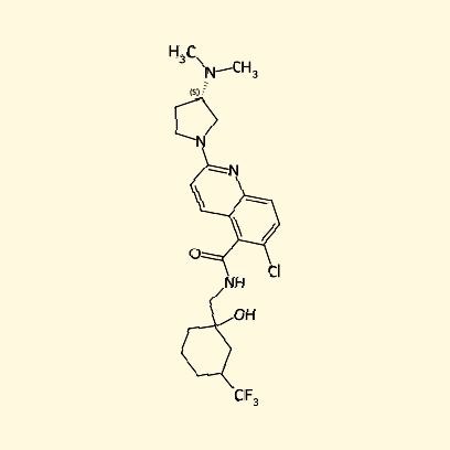 CN(C)[C@H]1CCN(c2ccc3c(C(=O)NCC4(O)CCCC(C(F)(F)F)C4)c(Cl)ccc3n2)C1